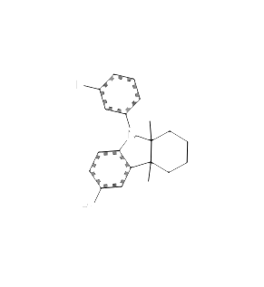 CC12CCCCC1(C)N(c1cccc(F)c1)c1ccc(Br)cc12